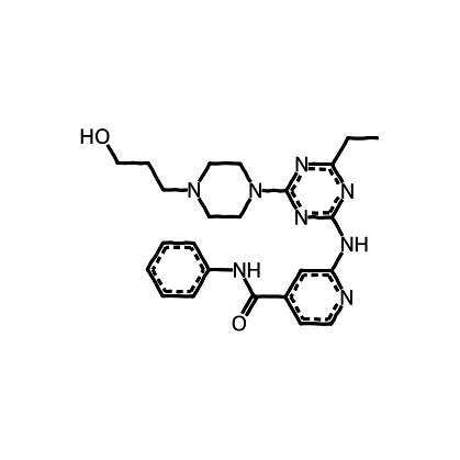 CCc1nc(Nc2cc(C(=O)Nc3ccccc3)ccn2)nc(N2CCN(CCCO)CC2)n1